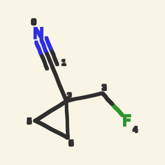 N#CC1(CF)CC1